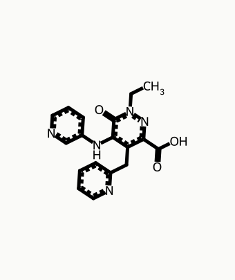 CCn1nc(C(=O)O)c(Cc2ccccn2)c(Nc2cccnc2)c1=O